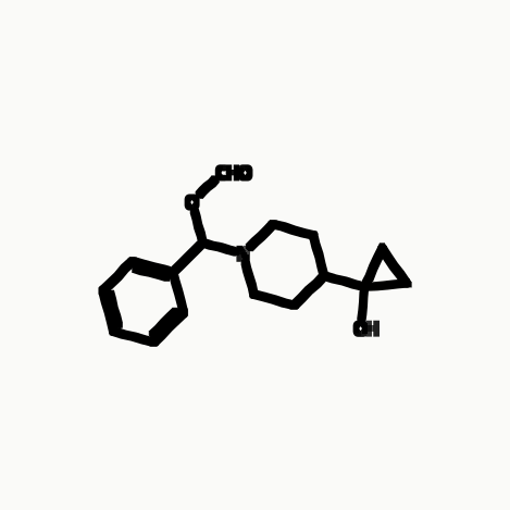 O=COC(c1ccccc1)N1CCC(C2(O)CC2)CC1